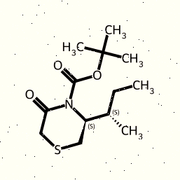 CC[C@H](C)[C@H]1CSCC(=O)N1C(=O)OC(C)(C)C